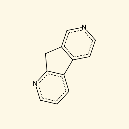 c1cnc2c(c1)-c1ccncc1C2